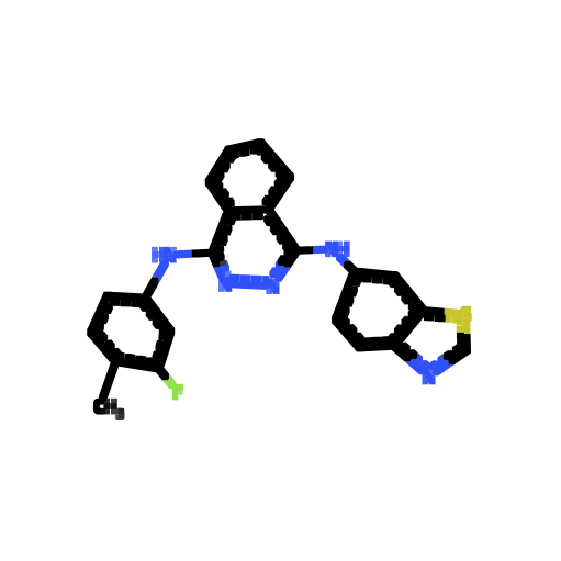 Cc1ccc(Nc2nnc(Nc3ccc4ncsc4c3)c3ccccc23)cc1F